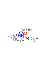 CC(=O)N[C@@H](CCCCN)C(=O)N[C@@H](CCC(=O)O)C(=O)O